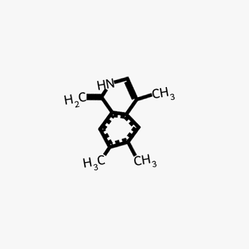 C=C1NC=C(C)c2cc(C)c(C)cc21